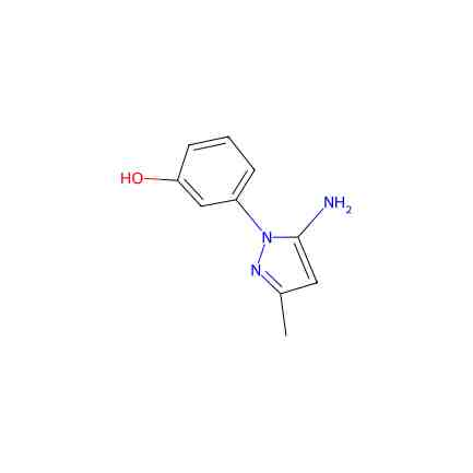 Cc1cc(N)n(-c2cccc(O)c2)n1